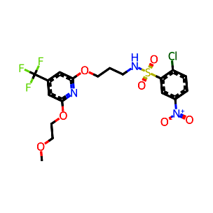 COCCOc1cc(C(F)(F)F)cc(OCCCNS(=O)(=O)c2cc([N+](=O)[O-])ccc2Cl)n1